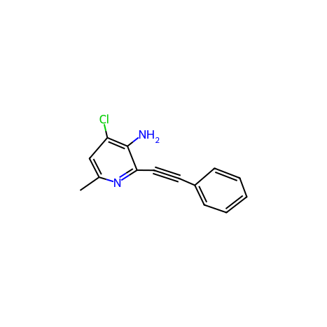 Cc1cc(Cl)c(N)c(C#Cc2ccccc2)n1